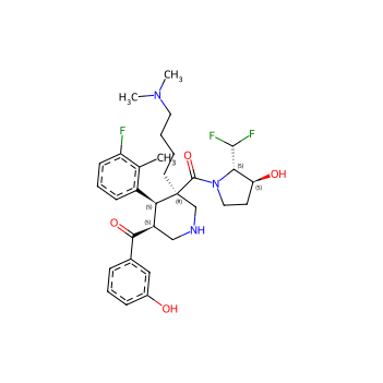 Cc1c(F)cccc1[C@@H]1[C@H](C(=O)c2cccc(O)c2)CNC[C@]1(CCCCN(C)C)C(=O)N1CC[C@H](O)[C@H]1C(F)F